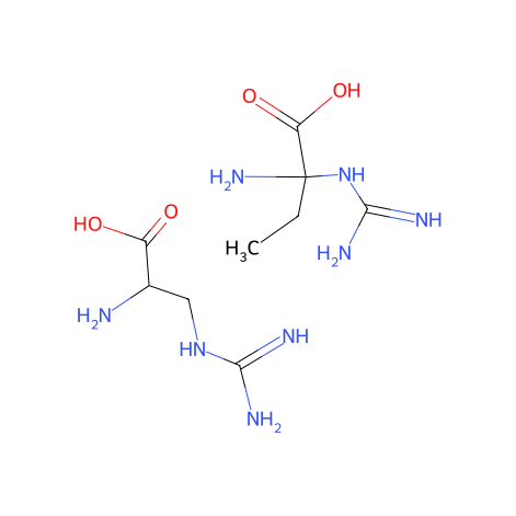 CCC(N)(NC(=N)N)C(=O)O.N=C(N)NCC(N)C(=O)O